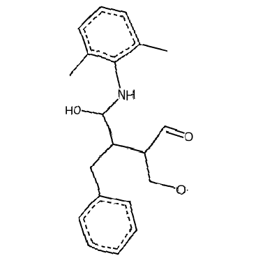 Cc1cccc(C)c1NC(O)C(Cc1ccccc1)C(C=O)C[O]